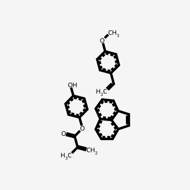 C1=Cc2cccc3cccc1c23.C=C(C)C(=O)Oc1ccc(O)cc1.C=Cc1ccc(OC)cc1